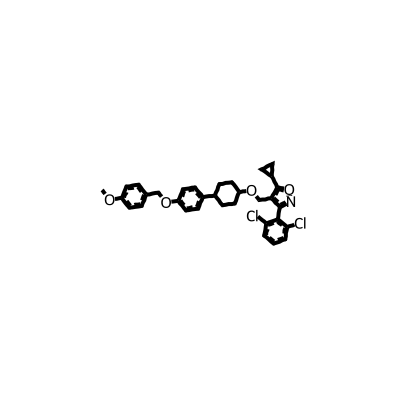 COc1ccc(COc2ccc(C3CCC(OCc4c(-c5c(Cl)cccc5Cl)noc4C4CC4)CC3)cc2)cc1